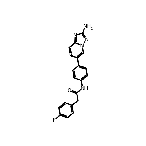 Nc1nc2cnc(-c3ccc(NC(=O)Cc4ccc(F)cc4)cc3)cn2n1